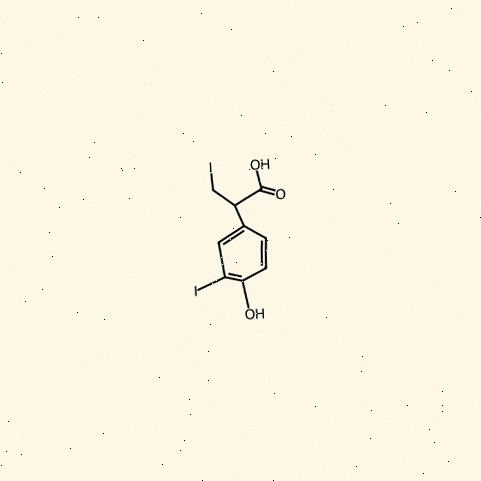 O=C(O)C(CI)c1ccc(O)c(I)c1